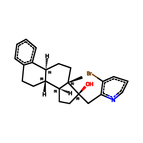 C[C@]12CC[C@@H]3c4ccccc4CC[C@H]3[C@@H]1CC[C@@]2(O)Cc1ncccc1Br